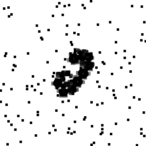 CCN(CC)[C@@H](C(=O)N1CCC[C@H]1c1ncc(-c2ccc(-c3ccc(-c4cnc([C@@H]5CCCN5C(=O)[C@@H]5CCC[C@H]5OC(N)=O)[nH]4)cc3)cc2)[nH]1)c1ccccc1